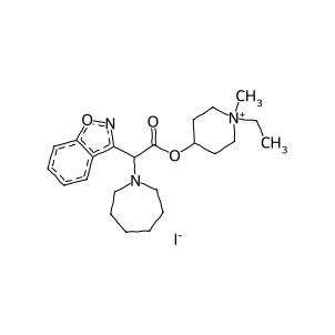 CC[N+]1(C)CCC(OC(=O)C(c2noc3ccccc23)N2CCCCCC2)CC1.[I-]